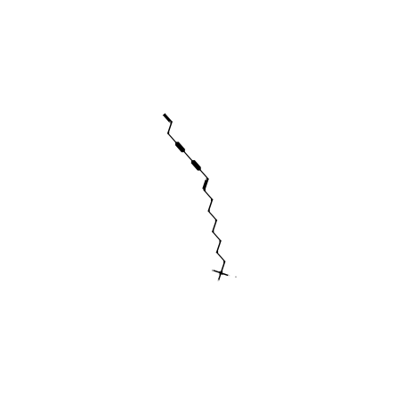 C=CCC#CC#CC=CCCCCCCCC(O)(O)C(=O)O